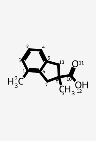 Cc1cccc2c1CC(C)(C(=O)O)C2